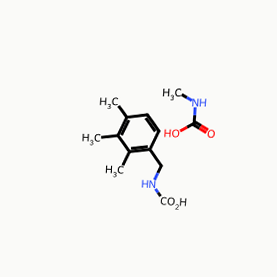 CNC(=O)O.Cc1ccc(CNC(=O)O)c(C)c1C